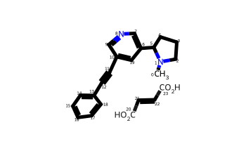 CN1CCCC1c1cncc(C#Cc2ccccc2)c1.O=C(O)C=CC(=O)O